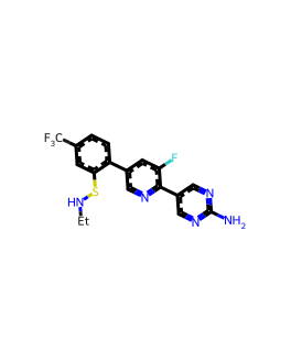 CCNSc1cc(C(F)(F)F)ccc1-c1cnc(-c2cnc(N)nc2)c(F)c1